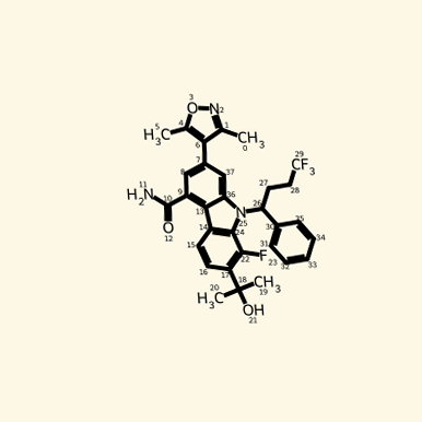 Cc1noc(C)c1-c1cc(C(N)=O)c2c3ccc(C(C)(C)O)c(F)c3n(C(CCC(F)(F)F)c3ccccc3)c2c1